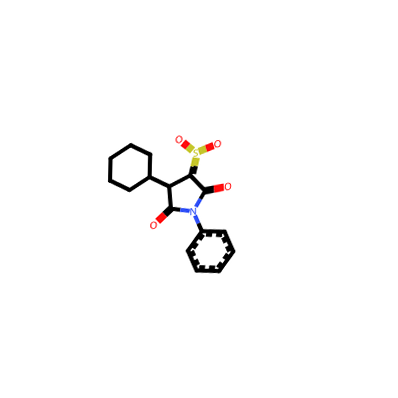 O=C1C(=S(=O)=O)C(C2CCCCC2)C(=O)N1c1ccccc1